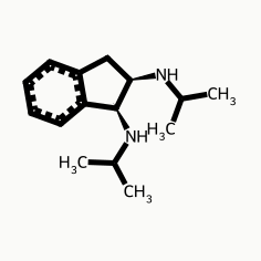 CC(C)N[C@@H]1Cc2ccccc2[C@@H]1NC(C)C